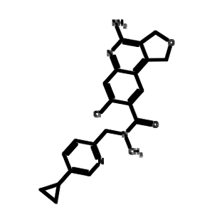 CN(Cc1ccc(C2CC2)cn1)C(=O)c1cc2c3c(c(N)nc2cc1Cl)COC3